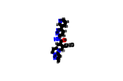 Cc1cc2n(n1)CCCN2CC(C=O)C(C)C(=O)Nc1ccc(-c2cccnc2)nn1